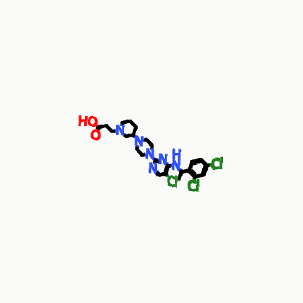 CC(Nc1nc(N2CCN(C3CCCN(CCC(=O)O)C3)CC2)ncc1Cl)c1ccc(Cl)cc1Cl